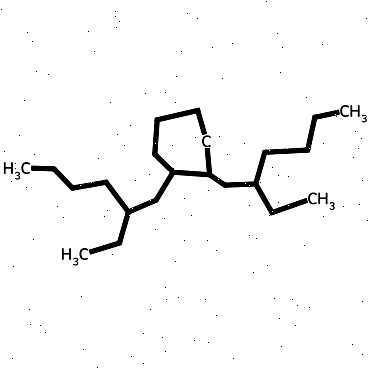 CCCCC(CC)C[C]1CCCCC1CC(CC)CCCC